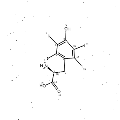 N[C@@H](Cc1c(I)c(I)c(O)c(I)c1I)C(=O)O